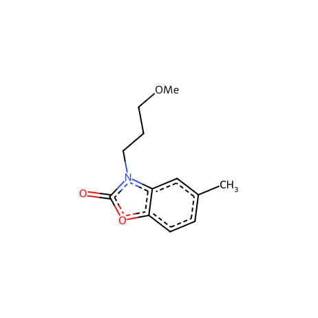 COCCCn1c(=O)oc2ccc(C)cc21